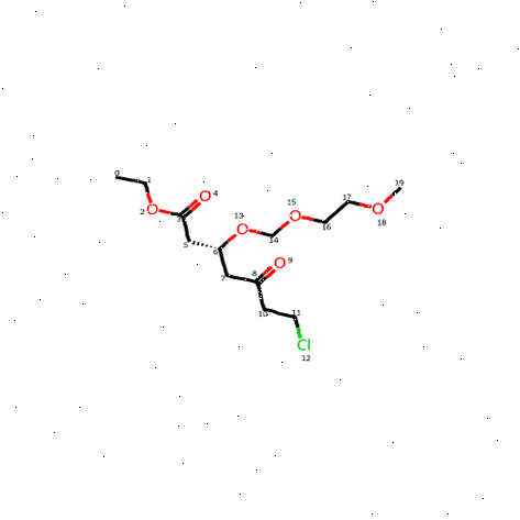 CCOC(=O)C[C@@H](CC(=O)CCCl)OCOCCOC